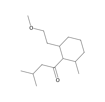 COCCC1CCCC(C)C1C(=O)CC(C)C